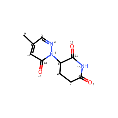 Cc1cnn(C2CCC(=O)NC2=O)c(=O)c1